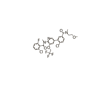 COCCN(C)C(=O)c1ccc(Cl)c(-c2cnc(N(C)C(=O)c3c(F)cccc3Cl)c(OCC(F)(F)F)c2)c1